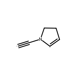 [C]#CN1[C]=CCC1